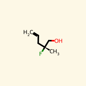 C=CC[C@@](C)(F)CO